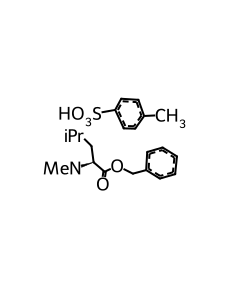 CN[C@@H](CC(C)C)C(=O)OCc1ccccc1.Cc1ccc(S(=O)(=O)O)cc1